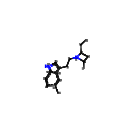 CCC1CC(C)N1CCc1c[nH]c2ccc(C)cc12